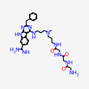 CN(CCCNC(=O)CNC(=O)CNC(=O)CN)CCCNc1nc(Cc2ccccc2)nc2[nH]c3cc(C(=N)N)ccc3c12